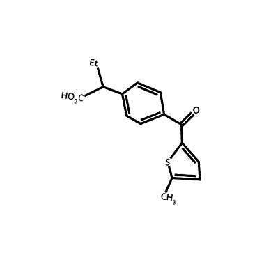 CCC(C(=O)O)c1ccc(C(=O)c2ccc(C)s2)cc1